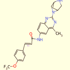 Cc1nc(N2CC3CC2CN3)nc2ccc(NC(=O)/C=C/c3ccc(OC(F)(F)F)cc3)cc12